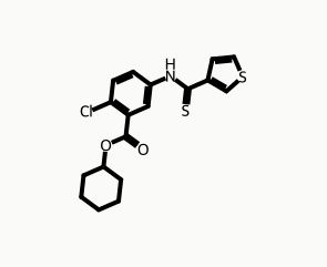 O=C(OC1CCCCC1)c1cc(NC(=S)c2ccsc2)ccc1Cl